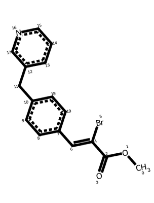 COC(=O)/C(Br)=C/c1ccc(Cc2cccnc2)cc1